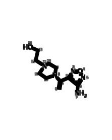 C=C(c1nonc1N)N1CCN(CCO)CC1